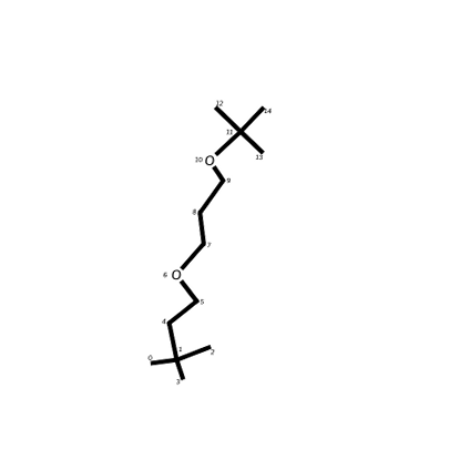 CC(C)(C)CCOCCCOC(C)(C)C